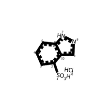 Cl.O=S(=O)(O)c1cccc2[nH]ncc12